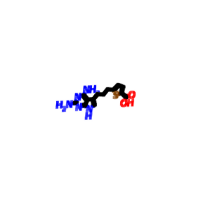 Nc1nc(N)c2c(CCCc3ccc(C(=O)O)s3)c[nH]c2n1